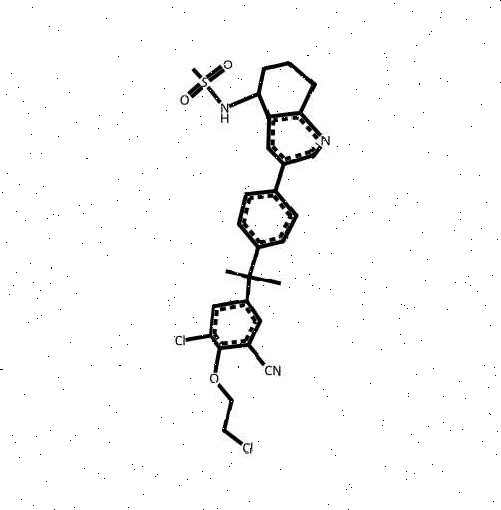 CC(C)(c1ccc(-c2cnc3c(c2)C(NS(C)(=O)=O)CCC3)cc1)c1cc(Cl)c(OCCCl)c(C#N)c1